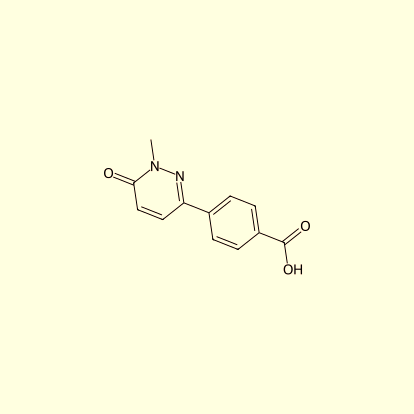 Cn1nc(-c2ccc(C(=O)O)cc2)ccc1=O